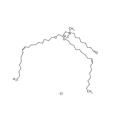 CCCCCCCC/C=C\CCCCCCCCOCC(C[N+](C)(C)CCCCCCCC=O)OCCCCCCCC/C=C\CCCCCCCC.[Cl-]